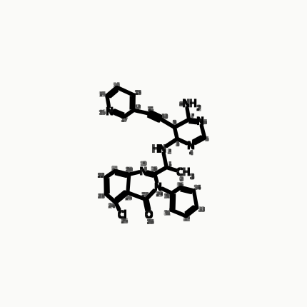 CC(NC1N=CN=C(N)C1C#Cc1cccnc1)c1nc2cccc(Cl)c2c(=O)n1-c1ccccc1